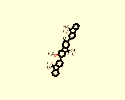 COc1cc2c(cc1-c1ccc3c(c1)C(C)(C)c1ccccc1-3)C(C)(C)c1cc(-c3ccc4c(c3)C(C)(C)c3ccccc3-4)c(C)cc1-2